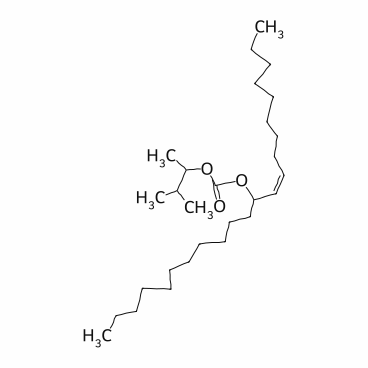 CCCCCCCC/C=C\C(CCCCCCCCCCC)OC(=O)OC(C)C(C)C